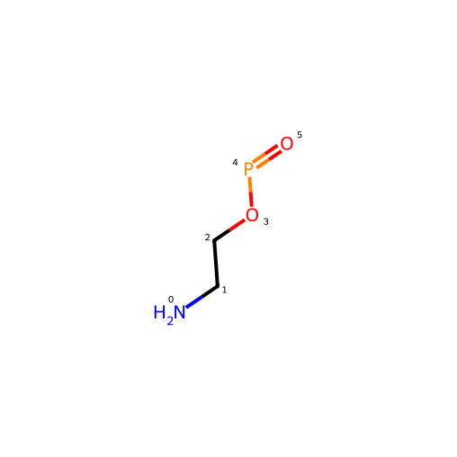 NCCOP=O